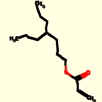 C=CC(=O)OCCCC(CCC)CCC